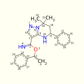 C=C(OC(=N)c1cnn2c1NC(c1ccccc1)CC2(C)C)c1ccccc1